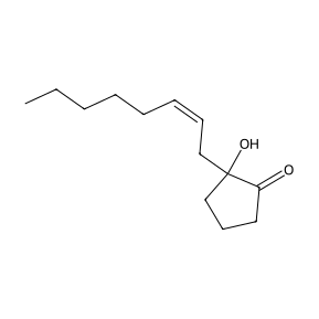 CCCCC/C=C\CC1(O)CCCC1=O